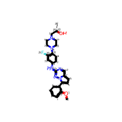 COc1ccccc1-c1ccc2cnc(Nc3ccc(N4CCN(C[C@H](C)O)CC4)c(F)c3)nn12